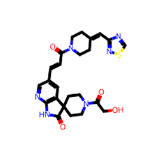 O=C(C=Cc1cnc2c(c1)C1(CCN(C(=O)CO)CC1)C(=O)N2)N1CCC(=Cc2ncsn2)CC1